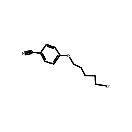 N#Cc1ccc(OCCCCCBr)cc1